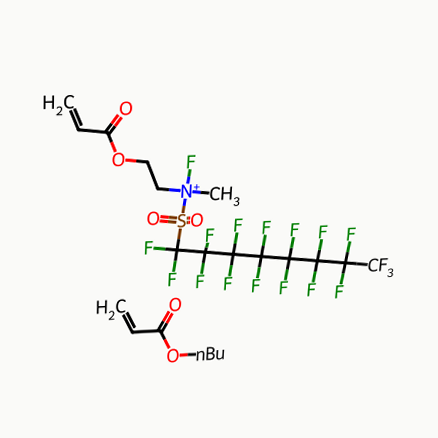 C=CC(=O)OCCCC.C=CC(=O)OCC[N+](C)(F)S(=O)(=O)C(F)(F)C(F)(F)C(F)(F)C(F)(F)C(F)(F)C(F)(F)C(F)(F)C(F)(F)F